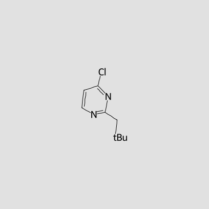 CC(C)(C)Cc1nccc(Cl)n1